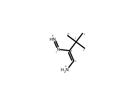 CC(C)(C)/C(=C/N)N=N